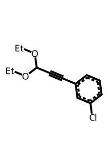 CCOC(C#Cc1cccc(Cl)c1)OCC